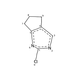 Clc1ncc2c(n1)CCC2